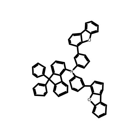 c1ccc(C2(c3ccccc3)c3ccccc3-c3c(N(c4cccc(-c5cccc6c5oc5ccccc56)c4)c4cccc(-c5cccc6c5oc5ccccc56)c4)cccc32)cc1